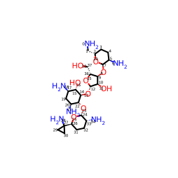 NC[C@@H]1CC[C@@H](N)[C@@H](O[C@H]2[C@@H](O)[C@H](O[C@@H]3[C@@H](O)[C@H](N)C[C@H](N)[C@H]3O[C@H]3O[C@H](C4(N)CC4)CC[C@H]3N)O[C@@H]2CO)O1